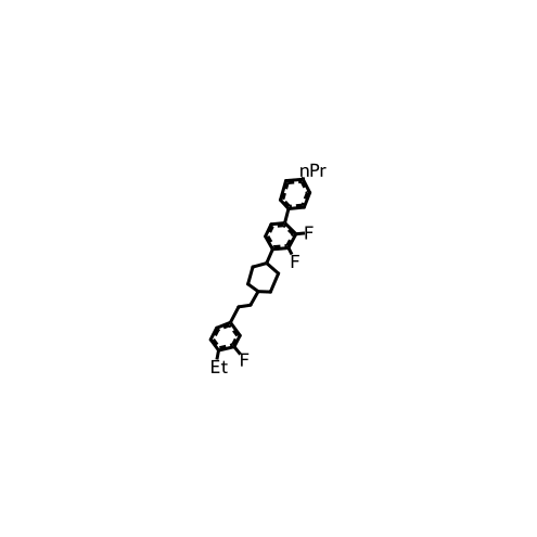 CCCc1ccc(-c2ccc(C3CCC(CCc4ccc(CC)c(F)c4)CC3)c(F)c2F)cc1